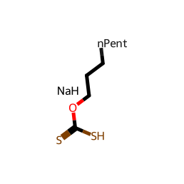 CCCCCCCCOC(=S)S.[NaH]